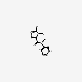 Cc1ncc(C(=O)N(C)c2cccnc2)n1C